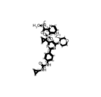 C[C@H]1COCCN1c1cc(C2(S(=O)(=O)c3cccnc3C(=O)N(C)C)CC2)nc(-c2ccc(NC(=O)NC3CC3)cc2)n1